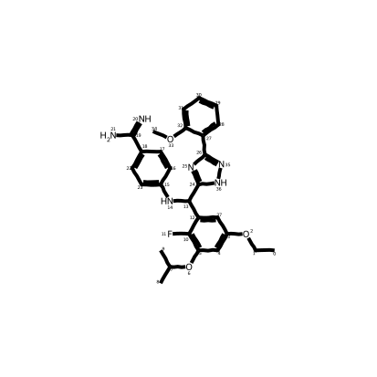 CCOc1cc(OC(C)C)c(F)c(C(Nc2ccc(C(=N)N)cc2)c2nc(-c3ccccc3OC)n[nH]2)c1